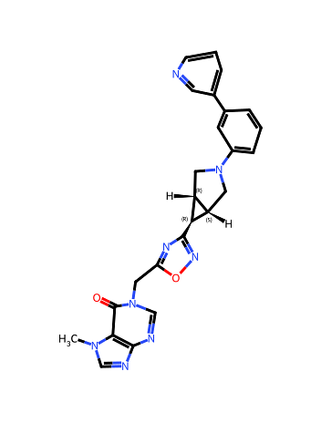 Cn1cnc2ncn(Cc3nc([C@H]4[C@@H]5CN(c6cccc(-c7cccnc7)c6)C[C@@H]54)no3)c(=O)c21